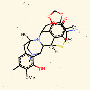 CCc1c2c(c3c(c1OC(C)=O)[C@H]1SCC(N)C(=O)OCC3N3C1C1c4c(cc(C)c(OC)c4O)CC3(C#N)CN1C)OCO2